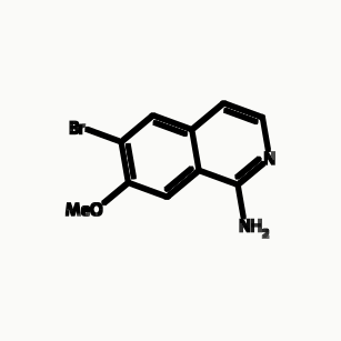 COc1cc2c(N)nccc2cc1Br